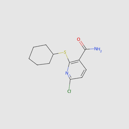 NC(=O)c1ccc(Cl)nc1SC1CCCCC1